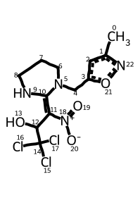 Cc1cc(CN2CCCNC2=C(C(O)C(Cl)(Cl)Cl)[N+](=O)[O-])on1